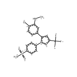 CNc1cc(-c2cc(C(F)(F)F)nn2-c2ccc(S(N)(=O)=O)cc2)ccc1Cl